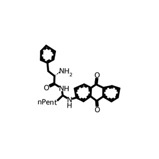 CCCCCC(NC(=O)[C@@H](N)Cc1ccccc1)Nc1ccc2c(c1)C(=O)c1ccccc1C2=O